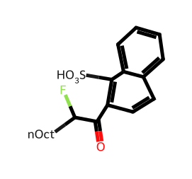 CCCCCCCCC(F)C(=O)c1ccc2ccccc2c1S(=O)(=O)O